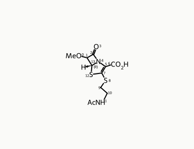 COC1C(=O)N2C(C(=O)O)=C(SCCNC(C)=O)S[C@H]12